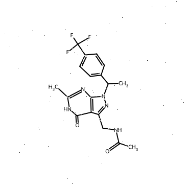 CC(=O)NCc1nn(C(C)c2ccc(C(F)(F)F)cc2)c2nc(C)[nH]c(=O)c12